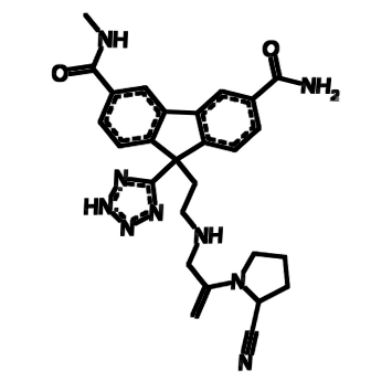 C=C(CNCCC1(c2nn[nH]n2)c2ccc(C(N)=O)cc2-c2cc(C(=O)NC)ccc21)N1CCCC1C#N